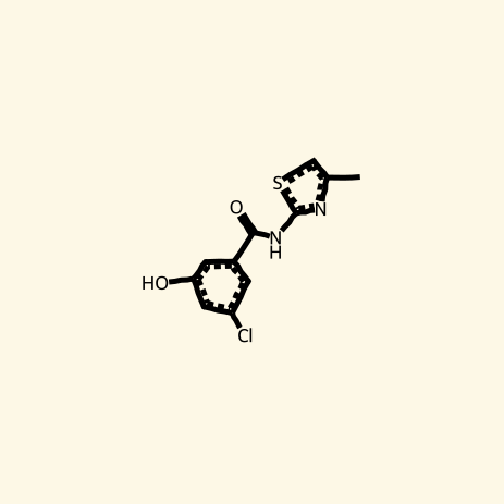 Cc1csc(NC(=O)c2cc(O)cc(Cl)c2)n1